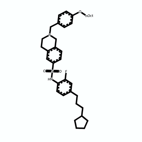 CCCCCCCCOc1ccc(CN2CCc3cc(S(=O)(=O)Nc4ccc(CCCC5CCCC5)cc4F)ccc3C2)cc1